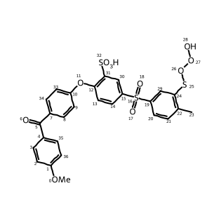 COc1ccc(C(=O)c2ccc(Oc3ccc(S(=O)(=O)c4ccc(C)c(SOOO)c4)cc3S(=O)(=O)O)cc2)cc1